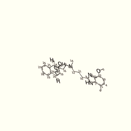 COc1ccc(C)c2[nH]c(CCCN(C)CC[C@]3(O)C[C@@H]4CCC[C@H]3c3ccccc34)nc12